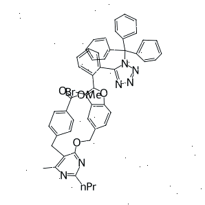 CCCc1nc(C)c(Cc2ccc(C(=O)OC)cc2)c(OCc2ccc3oc(-c4ccccc4-c4nnnn4C(c4ccccc4)(c4ccccc4)c4ccccc4)c(Br)c3c2)n1